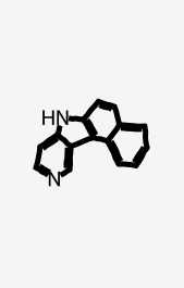 c1ccc2c(c1)ccc1[nH]c3ccncc3c12